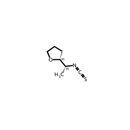 C[C@@H](N=C=S)[C@H]1CCCO1